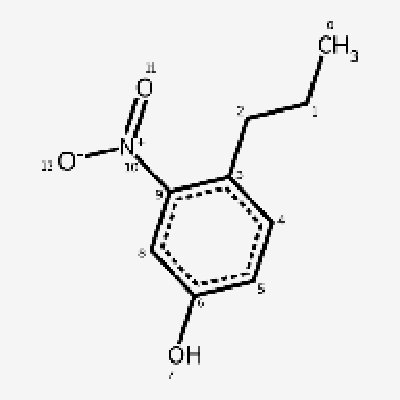 CCCc1ccc(O)cc1[N+](=O)[O-]